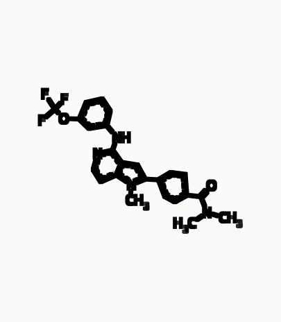 CN(C)C(=O)c1ccc(-c2cc3c(Nc4cccc(OC(F)(F)F)c4)nccc3n2C)cc1